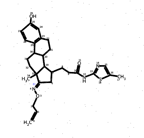 C=CCO/N=C1\CC(CCC(=O)Nc2ncc(C)s2)C2C3CCc4cc(O)ccc4C3CCC12C